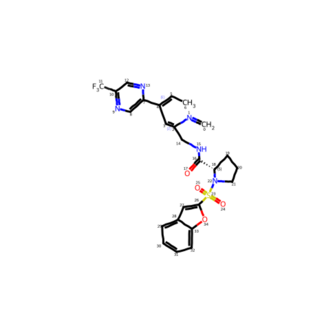 C=N/C(=C\C(=C/C)c1cnc(C(F)(F)F)cn1)CNC(=O)[C@@H]1CCCN1S(=O)(=O)c1cc2ccccc2o1